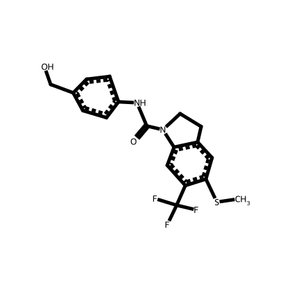 CSc1cc2c(cc1C(F)(F)F)N(C(=O)Nc1ccc(CO)cc1)CC2